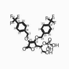 O=C1O[C@H]([C@H](CO)OP(=O)(O)O)C(OCc2ccc(C(F)(F)F)cc2)=C1OCc1ccc(C(F)(F)F)cc1